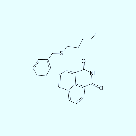 CCCCCSCc1ccccc1.O=C1NC(=O)c2cccc3cccc1c23